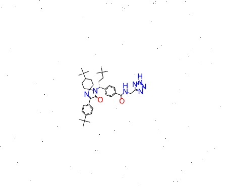 CC(C)(C)CC[C@H](c1ccc(C(=O)NCc2nn[nH]n2)cc1)N1C(=O)C(c2ccc(C(C)(C)C)cc2)=NC12CCC(C(C)(C)C)CC2